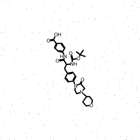 CC(C)(C)OC(=O)NC(Cc1ccc(N2CCN(C3CCOCC3)CC2=O)cc1)C(=O)Nc1ccc(C(=O)O)cc1